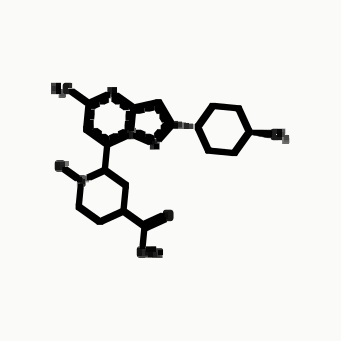 COC(=O)C1CC[S+]([O-])C(c2cc(C)nc3cc([C@H]4CC[C@H](C(F)(F)F)CC4)nn23)C1